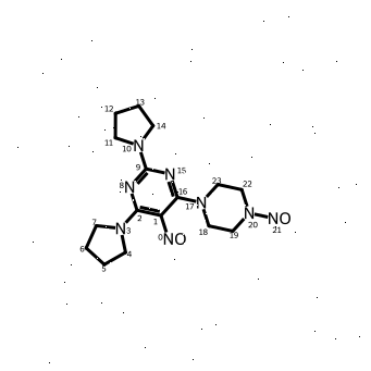 O=Nc1c(N2CCCC2)nc(N2CCCC2)nc1N1CCN(N=O)CC1